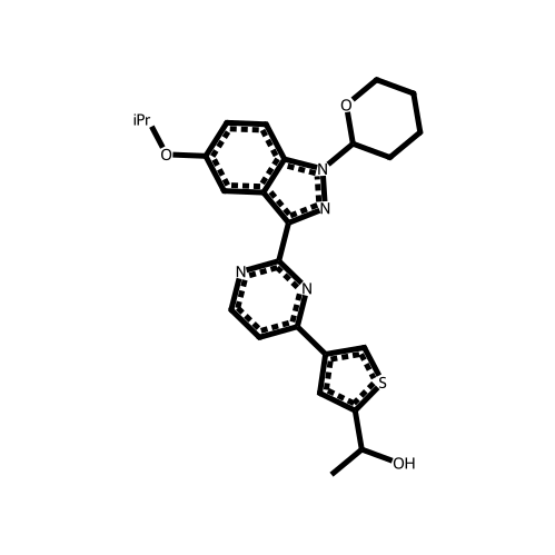 CC(C)Oc1ccc2c(c1)c(-c1nccc(-c3csc(C(C)O)c3)n1)nn2C1CCCCO1